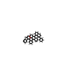 c1ccc(-c2ccc3cccc(-c4c5ccccc5c(-c5ccccc5-c5cccc6sc7ccccc7c56)c5ccccc45)c3c2)cc1